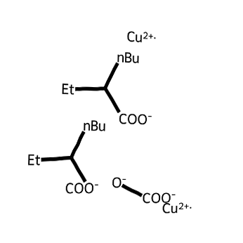 CCCCC(CC)C(=O)[O-].CCCCC(CC)C(=O)[O-].O=C([O-])[O-].[Cu+2].[Cu+2]